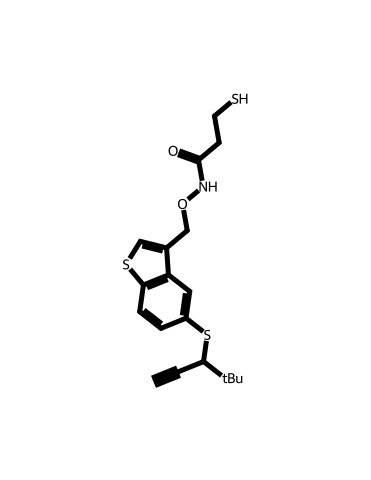 C#CC(Sc1ccc2scc(CONC(=O)CCS)c2c1)C(C)(C)C